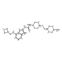 O=C(NC1CCN(CCN2CCC(O)CC2)CC1)Oc1cc2c(OCC3CCC3)cccc2[nH]1